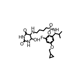 CC(C)[C@@H](NS(=O)(=O)CCCCNC1C(=O)NC(=O)NC1O)c1cc(F)cc(OCC2CC2)c1